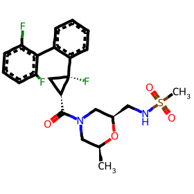 C[C@H]1CN(C(=O)[C@@H]2C[C@@]2(F)c2ccccc2-c2c(F)cccc2F)C[C@@H](CNS(C)(=O)=O)O1